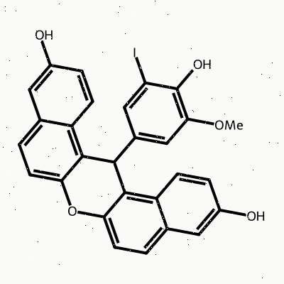 COc1cc(C2c3c(ccc4cc(O)ccc34)Oc3ccc4cc(O)ccc4c32)cc(I)c1O